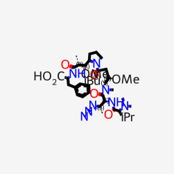 CC[C@H](C)[C@@H]([C@@H](CC(=O)N1CCCC1[C@H](OC)[C@@H](C)C(=O)NC(Cc1ccccc1)C(=O)O)OC)N(C)C(=O)[C@@H](NC(=O)C(C(C)C)N(C)C)[C@H](C)N=[N+]=[N-]